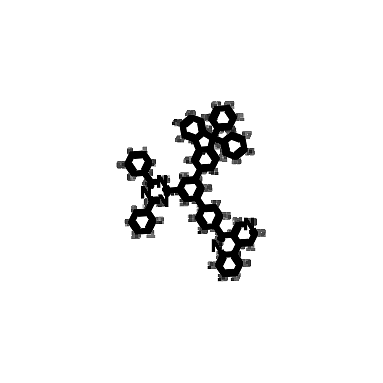 c1ccc(-c2nc(-c3ccccc3)nc(-c3cc(-c4ccc(-c5nc6ccccc6c6ccncc56)cc4)cc(-c4ccc5c(c4)-c4ccccc4C5(c4ccccc4)c4ccccc4)c3)n2)cc1